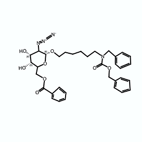 [N-]=[N+]=NC1[C@H](OCCCCCCN(Cc2ccccc2)C(=O)OCc2ccccc2)OC(COC(=O)c2ccccc2)[C@H](O)[C@@H]1O